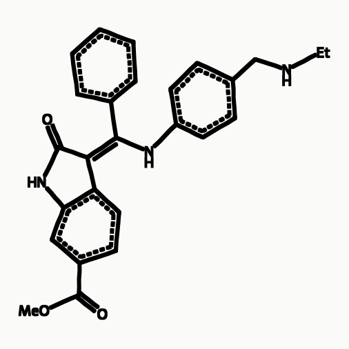 CCNCc1ccc(NC(=C2C(=O)Nc3cc(C(=O)OC)ccc32)c2ccccc2)cc1